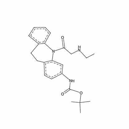 CCNCC(=O)N1c2ccccc2CCc2ccc(NC(=O)OC(C)(C)C)cc21